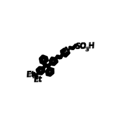 CCN(CC)c1ccc(/C(=C(\c2ccccc2)c2ccc(/C=C/c3cc[n+](CCCS(=O)(=O)O)cc3)cc2)c2ccccc2)cc1